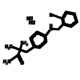 CC(N)(Cc1ccc(NCc2ccccc2Br)cc1)C(N)=O.Cl.Cl